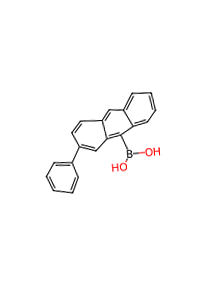 OB(O)c1c2ccccc2cc2ccc(-c3ccccc3)cc12